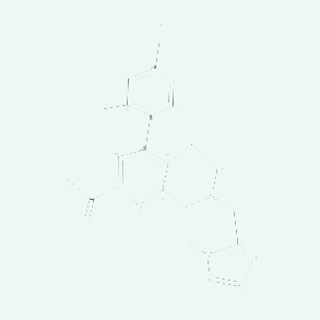 Cn1nnnc1CN1CCc2c(-c3ccc(F)cc3F)cc(C(N)=O)nc2C1